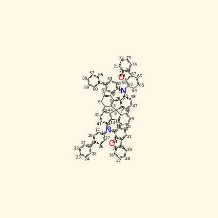 C1=CC2=C(CC1)C1(c3ccccc3-c3c(N(c4ccc(-c5ccccc5)cc4)c4cccc5c4oc4ccccc45)cccc31)c1cccc(N(c3ccc(-c4ccccc4)cc3)C3CC=Cc4c3oc3ccccc43)c12